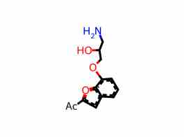 CC(=O)c1cc2cccc(OCC(O)CN)c2o1